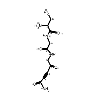 NC(=O)C#CC(=O)CNC(=O)CNC(=O)C(N)CS